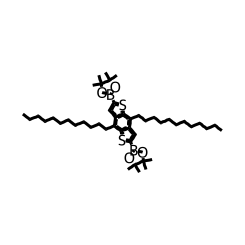 CCCCCCCCCCCCc1c2cc(B3OC(C)(C)C(C)(C)O3)sc2c(CCCCCCCCCCCC)c2cc(B3OC(C)(C)C(C)(C)O3)sc12